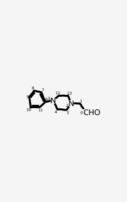 O=CCN1CCN(c2cc[c]cc2)CC1